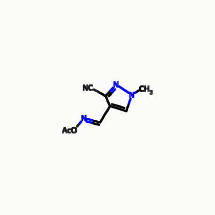 CC(=O)ON=Cc1cn(C)nc1C#N